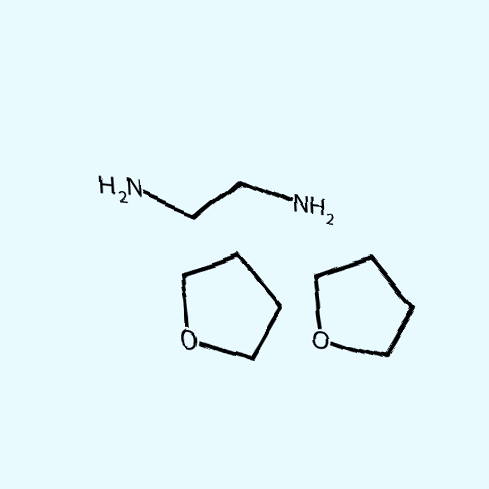 C1CCOC1.C1CCOC1.NCCN